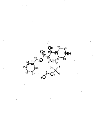 CC(C)(C)OC=O.NC(C(=O)OCc1ccccc1)C(=O)N1CCNCC1